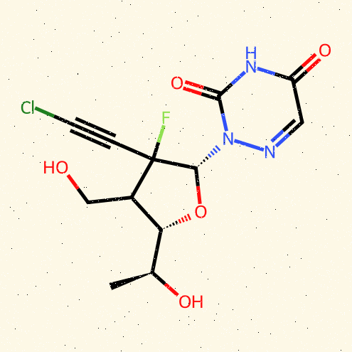 C[C@H](O)[C@H]1O[C@@H](n2ncc(=O)[nH]c2=O)C(F)(C#CCl)C1CO